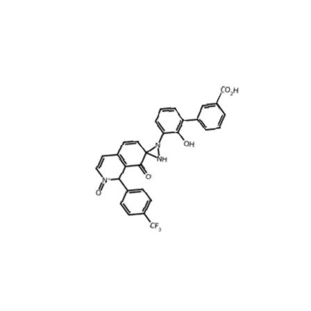 O=C(O)c1cccc(-c2cccc(N3NC34C=CC3=C(C4=O)C(c4ccc(C(F)(F)F)cc4)[N+](=O)C=C3)c2O)c1